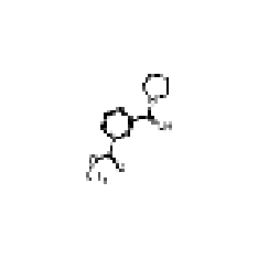 COC(=O)c1[c]ccc(C(=N)N2CCCC2)c1